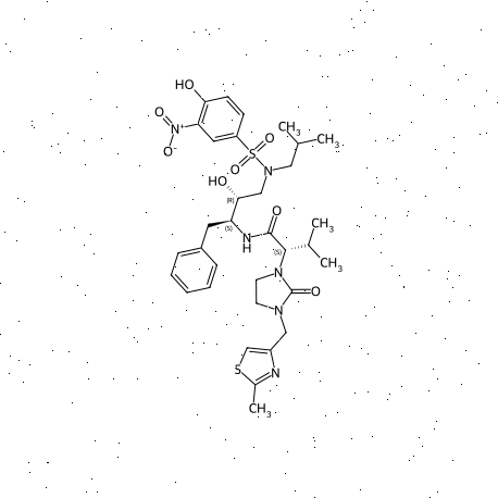 Cc1nc(CN2CCN([C@H](C(=O)N[C@@H](Cc3ccccc3)[C@H](O)CN(CC(C)C)S(=O)(=O)c3ccc(O)c([N+](=O)[O-])c3)C(C)C)C2=O)cs1